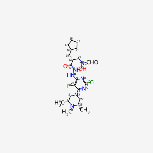 C[C@@H]1CN(c2nc(Cl)nc(NNC(=O)[C@H](CC3CCCC3)CN(O)C=O)c2F)C[C@H](C)N1C